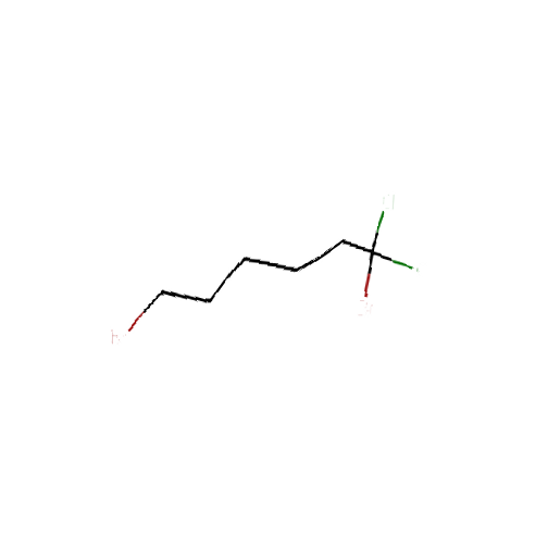 ClC(Cl)(Br)CCCCCBr